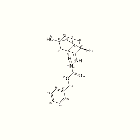 O=C(NNC1[C@@H]2CC3C[C@H]1CC(O)(C3)C2)OCc1ccccc1